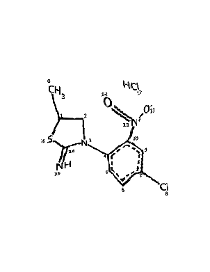 CC1CN(c2ccc(Cl)cc2[N+](=O)[O-])C(=N)S1.Cl